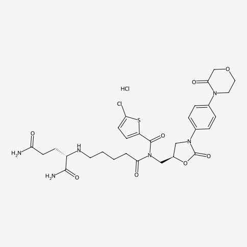 Cl.NC(=O)CC[C@H](NCCCCC(=O)N(C[C@H]1CN(c2ccc(N3CCOCC3=O)cc2)C(=O)O1)C(=O)c1ccc(Cl)s1)C(N)=O